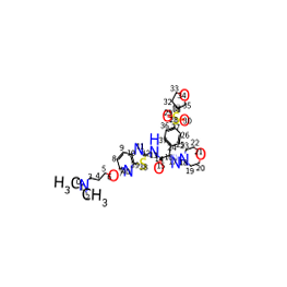 CN(C)CCCOc1ccc2nc(NC(=O)/C(=N/N3CCOCC3)c3ccc(S(=O)(=O)[C@H]4CCOC4)cc3)sc2n1